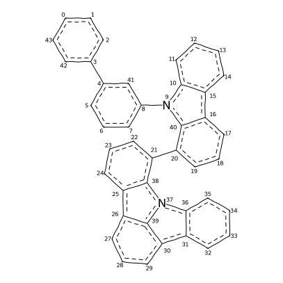 c1ccc(-c2cccc(-n3c4ccccc4c4cccc(-c5cccc6c7cccc8c9ccccc9n(c56)c87)c43)c2)cc1